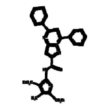 CCOC(=O)c1sc(NC(=O)c2cc3nc(-c4ccccc4)cc(-c4ccccc4)n3n2)c(C(=O)OCC)c1C